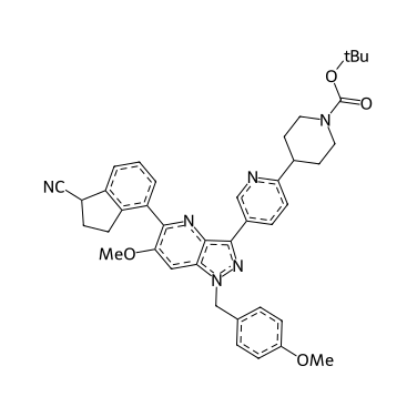 COc1ccc(Cn2nc(-c3ccc(C4CCN(C(=O)OC(C)(C)C)CC4)nc3)c3nc(-c4cccc5c4CCC5C#N)c(OC)cc32)cc1